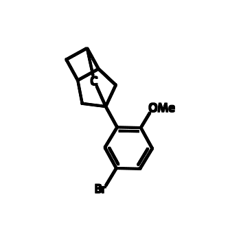 COc1ccc(Br)cc1C12CC3CC(C1)C3C2